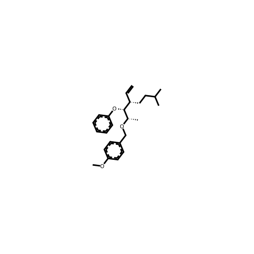 C=C[C@H](CCC(C)C)[C@@H](Oc1ccccc1)[C@H](C)OCc1ccc(OC)cc1